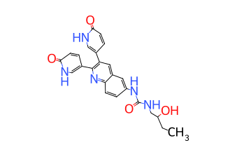 CCC(O)CNC(=O)Nc1ccc2nc(-c3ccc(=O)[nH]c3)c(-c3ccc(=O)[nH]c3)cc2c1